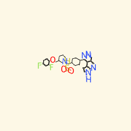 O=[SH](=O)C(C1CCC(c2nncc3cnc4[nH]ccc4c23)CC1)N1CCCC(COc2ccc(F)cc2F)C1